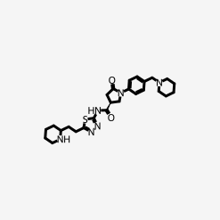 O=C(Nc1nnc(CCC2CCCCN2)s1)[C@H]1CC(=O)N(c2ccc(CN3CCCCC3)cc2)C1